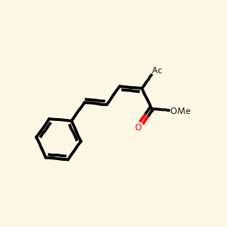 COC(=O)C(=CC=Cc1ccccc1)C(C)=O